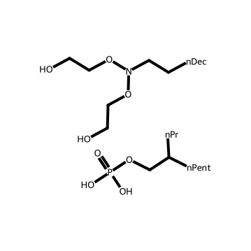 CCCCCC(CCC)COP(=O)(O)O.CCCCCCCCCCCCN(OCCO)OCCO